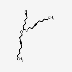 CCCCCC#CCCOC(CCCCC#N)OCCC#CCCCCC